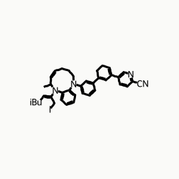 CCC(C)/C=C(\CI)N1c2ccccc2N(c2cccc(C3=CC(c4ccc(C#N)nc4)=CCC3)c2)CCC/C=C\C1C